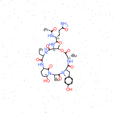 CCC(C)C1C(=O)N(C)C(Cc2ccc(O)cc2)C(=O)N[C@@H](C(C)CC)C(=O)OC(C)[C@H](NC(=O)[C@H](CCC(N)=O)NC(=O)C(C)C)C(=O)NC(CC(C)C)C(=O)NC2CC[C@H](O)N1C2=O